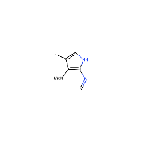 C=Nc1[nH]cc(C)c1NC